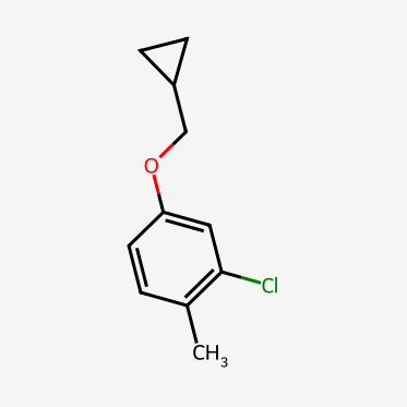 Cc1ccc(OCC2CC2)cc1Cl